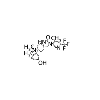 Cc1cc(C(F)(F)F)ncc1N1C[C@]2(CC[C@@](c3cccc(O)c3)(N(C)C)CC2)NC1=O